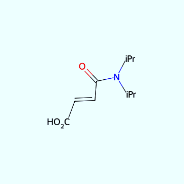 CC(C)N(C(=O)/C=C/C(=O)O)C(C)C